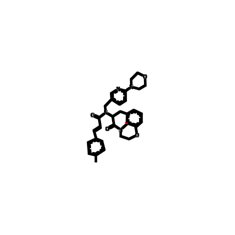 Cc1ccc(C=CC(=O)N(Cc2ccc(N3CCOCC3)nc2)C(Cc2ccccc2)C(=O)N2CCOCC2)cc1